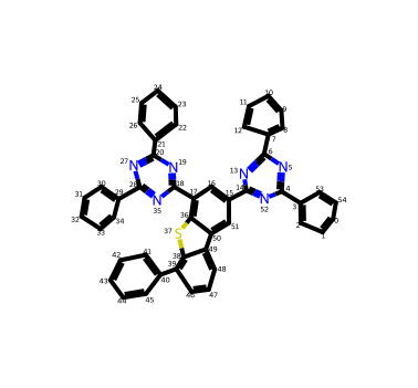 c1ccc(-c2nc(-c3ccccc3)nc(-c3cc(-c4nc(-c5ccccc5)nc(-c5ccccc5)n4)c4sc5c(-c6ccccc6)cccc5c4c3)n2)cc1